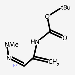 C=C(/C=N\NC)NC(=O)OC(C)(C)C